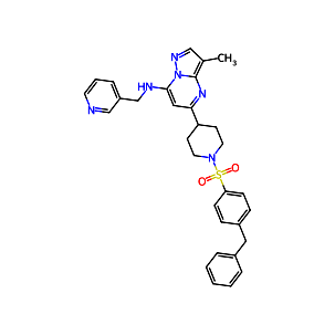 Cc1cnn2c(NCc3cccnc3)cc(C3CCN(S(=O)(=O)c4ccc(Cc5ccccc5)cc4)CC3)nc12